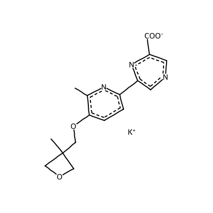 Cc1nc(-c2cncc(C(=O)[O-])n2)ccc1OCC1(C)COC1.[K+]